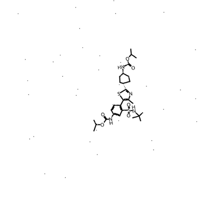 Cc1nc([C@H]2CC[C@H](NC(=O)OC(C)C)CC2)sc1-c1ccc(NC(=O)OC(C)C)cc1S(=O)(=O)NC(C)(C)C